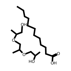 CC(O)COC(C)COC(C)CO.CCCCCCCCCCCC(=O)O